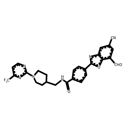 N#Cc1cc(C=O)c2oc(-c3ccc(C(=O)NCC4CCN(c5nccc(C(F)(F)F)n5)CC4)cc3)nc2c1